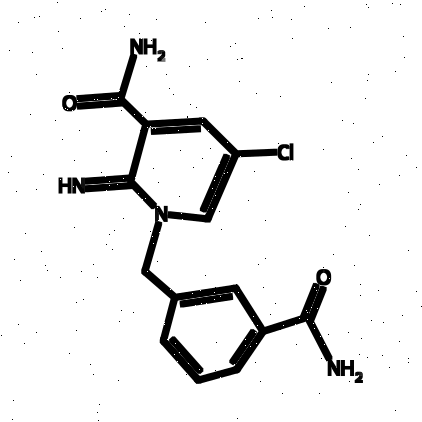 N=c1c(C(N)=O)cc(Cl)cn1Cc1cccc(C(N)=O)c1